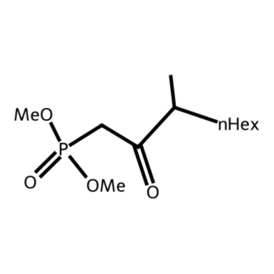 CCCCCCC(C)C(=O)CP(=O)(OC)OC